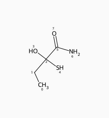 CCC(O)(S)C(N)=O